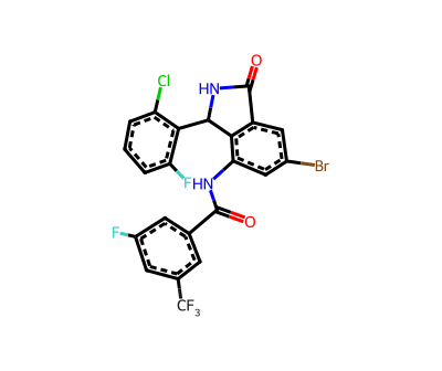 O=C(Nc1cc(Br)cc2c1C(c1c(F)cccc1Cl)NC2=O)c1cc(F)cc(C(F)(F)F)c1